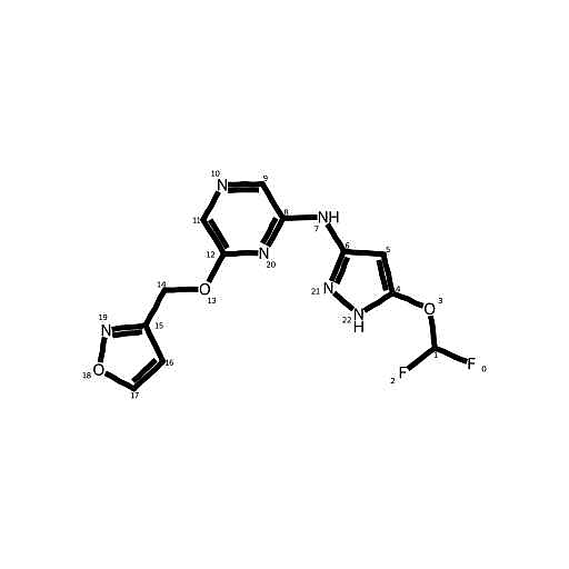 FC(F)Oc1cc(Nc2cncc(OCc3ccon3)n2)n[nH]1